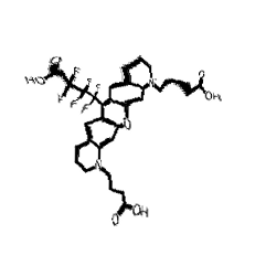 O=C(O)CCCN1CCCc2cc3c(cc21)Oc1cc2c(cc1=C3C(F)(F)C(F)(F)C(F)(F)C(=O)O)CCC[N+]=2CCCC(=O)O